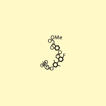 COC(=O)C[C@@H]1COc2cc(O[C@@H]3CCc4c(-c5c(C)cc(O[C@H]6CCN(S(C)(=O)=O)C6)cc5C)ccc(F)c43)ccc21